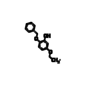 [CH2]COc1ccc(OCc2ccccc2)c(O)c1